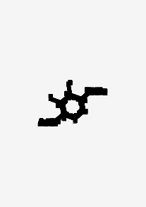 CC(=O)Nc1ccc(NC(C)=O)c(C)c1C